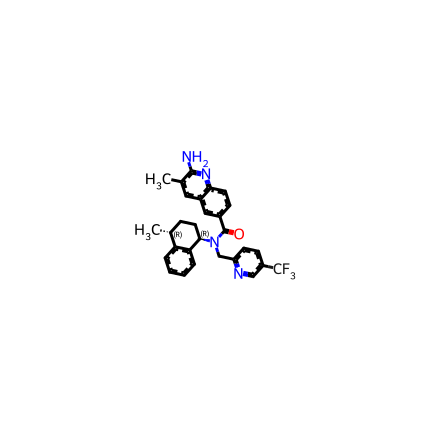 Cc1cc2cc(C(=O)N(Cc3ccc(C(F)(F)F)cn3)[C@@H]3CC[C@@H](C)c4ccccc43)ccc2nc1N